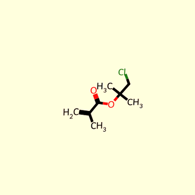 C=C(C)C(=O)OC(C)(C)CCl